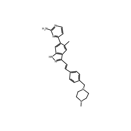 Cc1cc2c(C=Cc3ccc(CN4CCN(C)CC4)cc3)n[nH]c2cc1-c1ccnc(N)n1